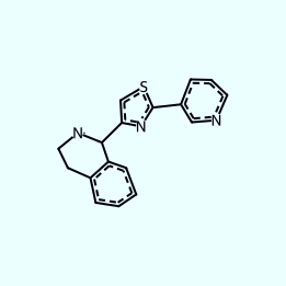 c1cncc(-c2nc(C3[N]CCc4ccccc43)cs2)c1